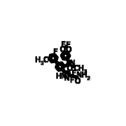 Cc1cc(F)cc(-c2ccc(-c3cc(C(F)(F)C(N)=O)n[nH]3)c(-c3oc(C)nc3-c3ccc4c(c3)OC(F)(F)O4)c2)c1